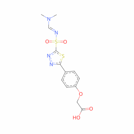 CN(C)C=NS(=O)(=O)c1nnc(-c2ccc(OCC(=O)O)cc2)s1